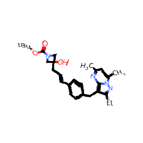 CCc1nn2c(C)cc(C)nc2c1Cc1ccc(C=CCC2(O)CN(C(=O)OC(C)(C)C)C2)cc1